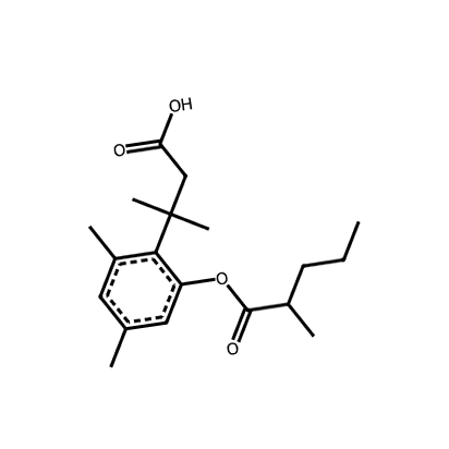 CCCC(C)C(=O)Oc1cc(C)cc(C)c1C(C)(C)CC(=O)O